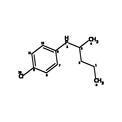 CCCC(C)Pc1ccc(Cl)cc1